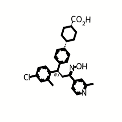 Cc1cc(C(C[C@H](c2ccc([C@H]3CC[C@@H](C(=O)O)CC3)cc2)c2ccc(Cl)cc2C)=NO)ccn1